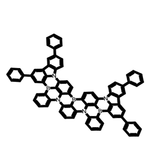 c1ccc(-c2ccc3c(c2)c2cc(-c4ccccc4)cc4c2n3-c2ccc3c5c2B4c2ccccc2N5c2cccc4c2B3c2ccc3c5c2N4c2ccccc2B5c2cc(-c4ccccc4)cc4c5cc(-c6ccccc6)ccc5n-3c24)cc1